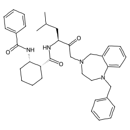 CC(C)C[C@H](NC(=O)[C@@H]1CCCC[C@@H]1NC(=O)c1ccccc1)C(=O)CN1CCN(Cc2ccccc2)c2ccccc2C1